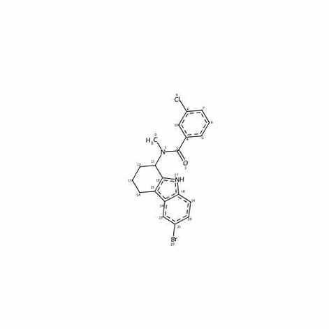 CN(C(=O)c1cccc(Cl)c1)C1CCCc2c1[nH]c1ccc(Br)cc21